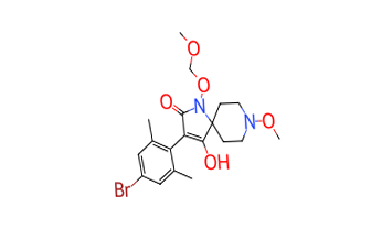 COCON1C(=O)C(c2c(C)cc(Br)cc2C)=C(O)C12CCN(OC)CC2